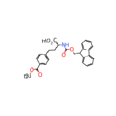 CC(C)(C)OC(=O)c1ccc(CC[C@H](NC(=O)OCC2c3ccccc3-c3ccccc32)C(=O)O)cc1